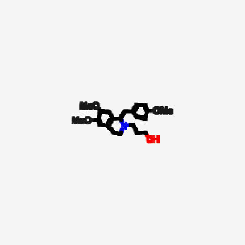 COc1ccc(CC2c3cc(OC)c(OC)cc3CCN2CCCO)cc1